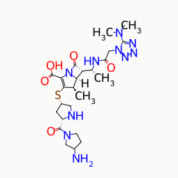 C[C@@H](NC(=O)Cn1nnnc1N(C)C)[C@H]1C(=O)N2C(C(=O)O)=C(S[C@@H]3CN[C@H](C(=O)N4CCC(N)C4)C3)[C@H](C)[C@H]12